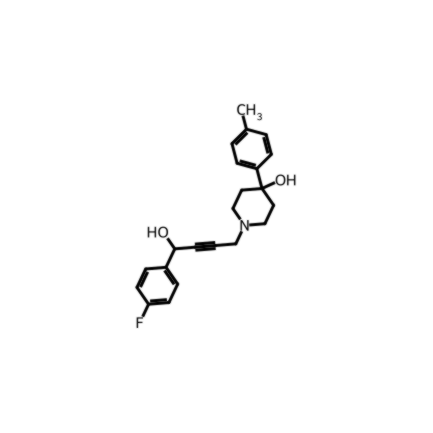 Cc1ccc(C2(O)CCN(CC#CC(O)c3ccc(F)cc3)CC2)cc1